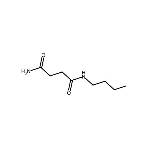 CCCCNC(=O)CCC(N)=O